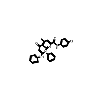 Cc1cc(C(=O)Nc2ccc(Cl)cc2)nc2c1c(=O)cc(Nc1ccccc1)n2-c1ccccc1